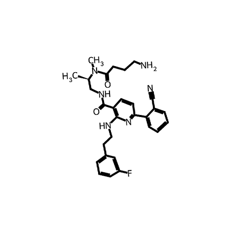 C[C@H](CNC(=O)c1ccc(-c2ccccc2C#N)nc1NCCc1cccc(F)c1)N(C)C(=O)CCCN